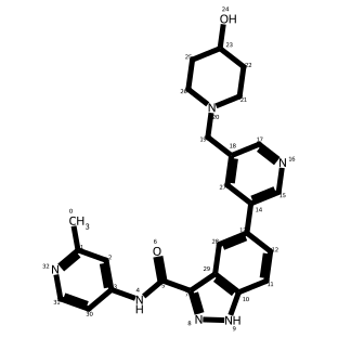 Cc1cc(NC(=O)c2n[nH]c3ccc(-c4cncc(CN5CCC(O)CC5)c4)cc23)ccn1